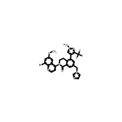 COc1cc(Br)c2nccc(N3CCc4c(cc(Cn5ccnc5)cc4-c4cn(C)nc4C(F)(F)F)C3=O)c2c1